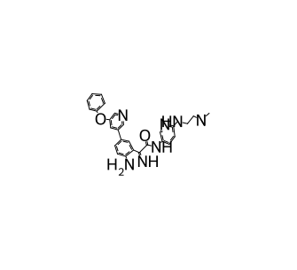 CN(C)CCNc1ccc(NC(=O)C(=N)c2cc(-c3cncc(Oc4ccccc4)c3)ccc2N)cn1